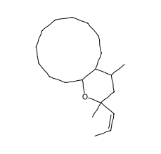 C/C=C\C1(C)CC(C)C2CCCCCCCCCCC2O1